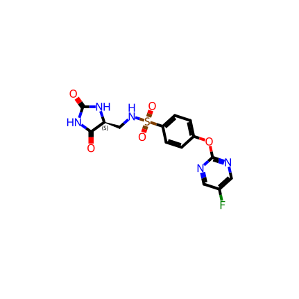 O=C1NC(=O)[C@H](CNS(=O)(=O)c2ccc(Oc3ncc(F)cn3)cc2)N1